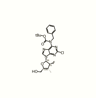 C[C@H]1[C@H](F)[C@H](n2cnc3c(N(Cc4ccccc4)C(=O)OC(C)(C)C)nc(Cl)nc32)O[C@@H]1CO